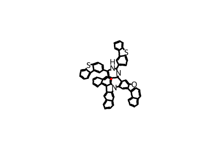 CC1=C(c2ccc3sc4ccccc4c3c2)NC(c2ccc3sc4ccccc4c3c2)N=C(c2cc3oc4ccc5ccccc5c4c3cc2-n2c3cc4ccccc4cc3c3c4ccccc4ccc32)C1